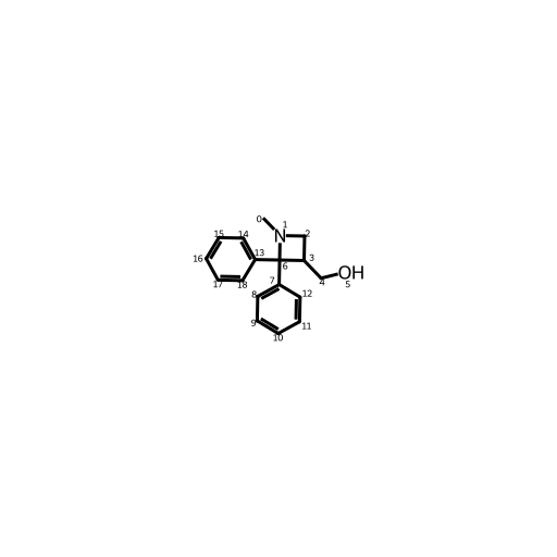 CN1CC(CO)C1(c1ccccc1)c1ccccc1